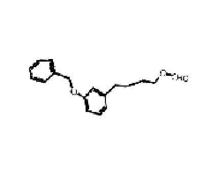 O=COCCCCc1cccc(OCc2ccccc2)c1